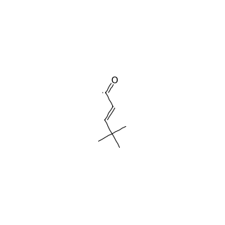 CC(C)(C)C=C[C]=O